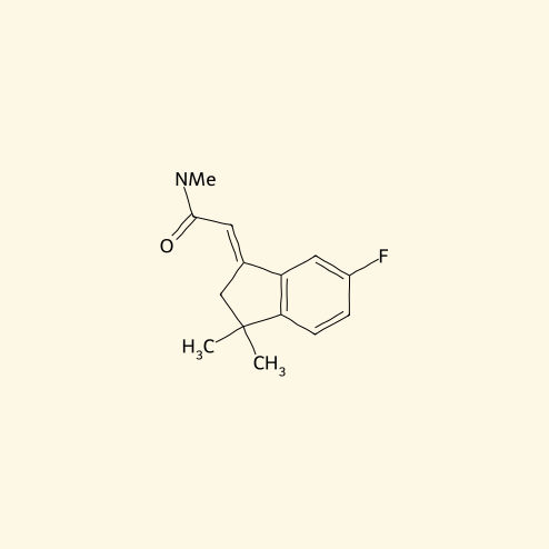 CNC(=O)/C=C1\CC(C)(C)c2ccc(F)cc21